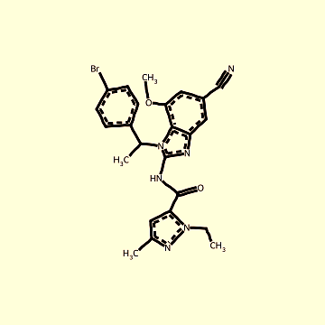 CCn1nc(C)cc1C(=O)Nc1nc2cc(C#N)cc(OC)c2n1C(C)c1ccc(Br)cc1